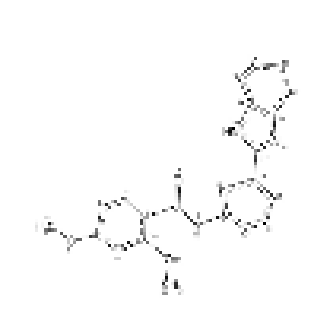 COc1ccc(C(=O)Nc2cccc(-c3nc4ccccc4[nH]3)c2)c(OC)c1